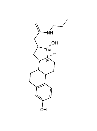 C=C(CC1CC2C3CCc4cc(O)ccc4C3CC[C@]2(C)[C@H]1O)NCCC